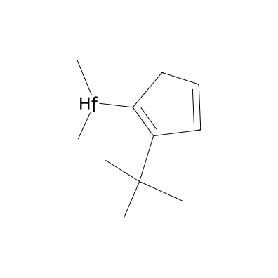 [CH3][Hf]([CH3])[C]1=C(C(C)(C)C)C=CC1